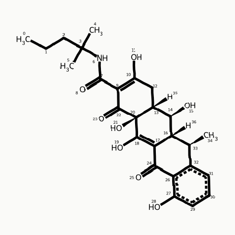 CCCC(C)(C)NC(=O)C1=C(O)C[C@@H]2[C@@H](O)[C@H]3C(=C(O)[C@]2(O)C1=O)C(=O)c1c(O)cccc1[C@@H]3C